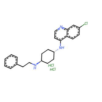 Cl.Cl.Clc1ccc2c(N[C@H]3CC[C@H](NCCc4ccccc4)CC3)ccnc2c1